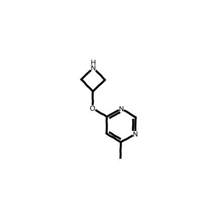 Cc1cc(OC2CNC2)ncn1